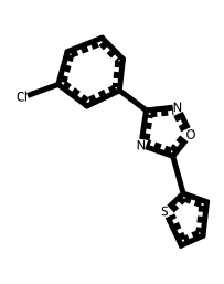 Clc1cccc(-c2noc(-c3cccs3)n2)c1